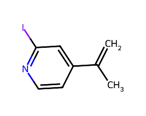 C=C(C)c1ccnc(I)c1